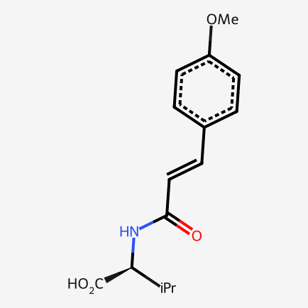 COc1ccc(/C=C/C(=O)N[C@H](C(=O)O)C(C)C)cc1